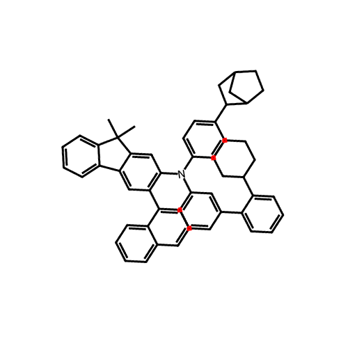 CC1(C)c2ccccc2-c2cc(-c3cccc4ccccc34)c(N(c3ccc(C4CC5CCC4C5)cc3)c3cccc(-c4ccccc4C4CCCCC4)c3)cc21